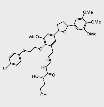 COc1cc(C2CCC(c3cc(OC)c(OC)c(OC)c3)O2)cc(C/C=C/NC(=O)N(O)CCO)c1OCCSc1ccc(Cl)cc1